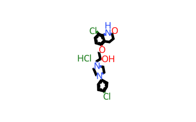 Cl.O=C1CCc2c(OCC(O)CN3CCN(c4ccc(Cl)cc4)CC3)ccc(Cl)c2N1